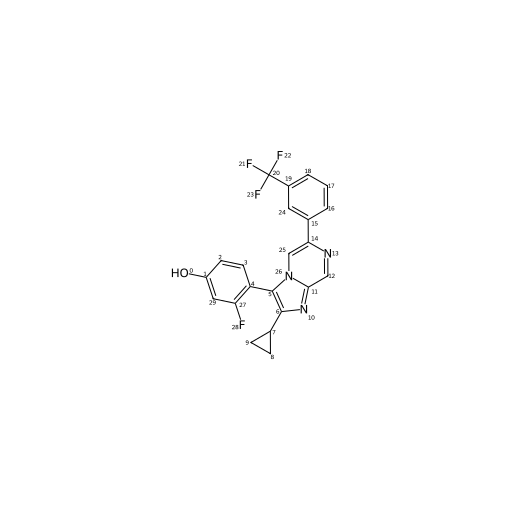 Oc1ccc(-c2c(C3CC3)nc3cnc(-c4cccc(C(F)(F)F)c4)cn23)c(F)c1